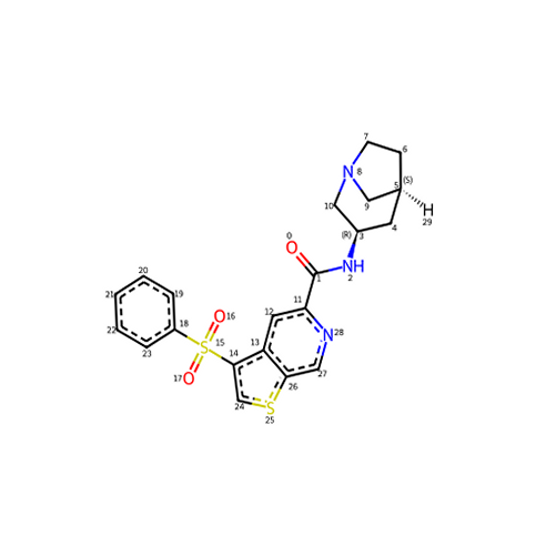 O=C(N[C@@H]1C[C@@H]2CCN(C2)C1)c1cc2c(S(=O)(=O)c3ccccc3)csc2cn1